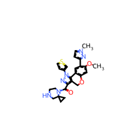 COc1cc2c(cc1-c1ccn(C)n1)-c1c(c(C(=O)N3CCNCC34CC4)nn1-c1ccsc1)CO2